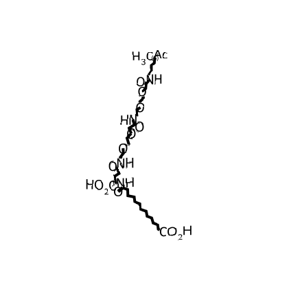 CC(=O)[C@@H](C)CCCCNC(=O)COCCOCCNC(=O)COCCOCCNC(=O)CC[C@H](NC(=O)CCCCCCCCCCCCC(=O)O)C(=O)O